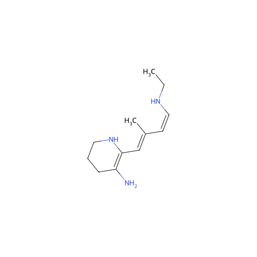 CCN/C=C\C(C)=C\C1=C(N)CCCN1